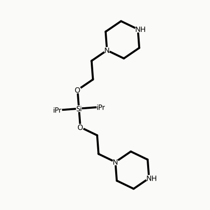 CC(C)[Si](OCCN1CCNCC1)(OCCN1CCNCC1)C(C)C